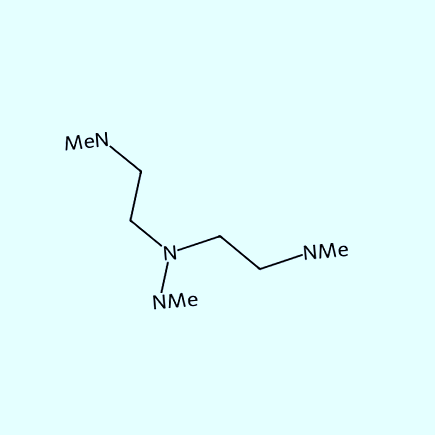 CNCCN(CCNC)NC